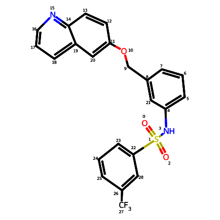 O=S(=O)(Nc1cccc(COc2ccc3ncccc3c2)c1)c1cccc(C(F)(F)F)c1